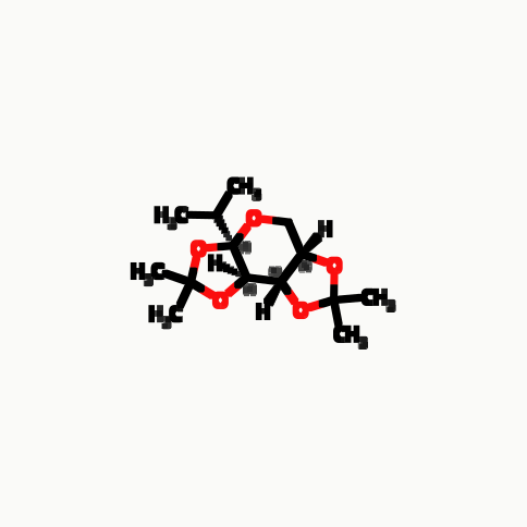 CC(C)[C@]12OC[C@@H]3OC(C)(C)O[C@@H]3[C@H]1OC(C)(C)O2